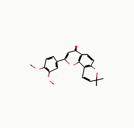 COc1ccc(-c2cc(=O)c3ccc4c(c3o2)C=CC(C)(C)O4)cc1OC